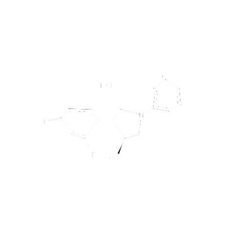 Cl.O=C(O)[C@@H]1CN(c2cccnn2)C[C@H]1c1ccc(F)cc1F